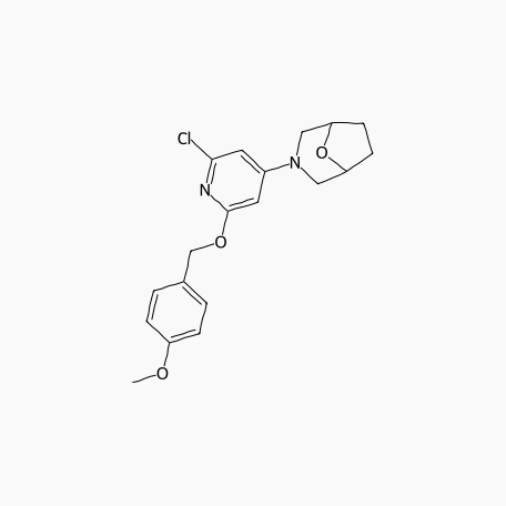 COc1ccc(COc2cc(N3CC4CCC(C3)O4)cc(Cl)n2)cc1